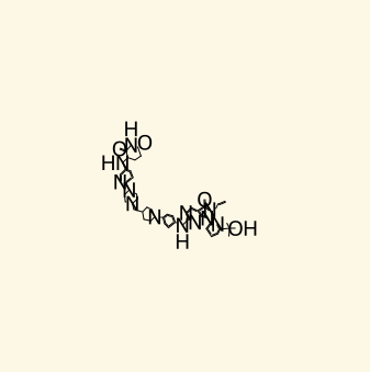 C=CCn1c(=O)c2cnc(Nc3ccc(N4CCC(CN5CCN(c6ccc(NC7CCC(=O)NC7=O)cn6)CC5)CC4)cc3)nc2n1-c1cccc(C(C)(C)O)n1